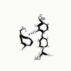 NCc1cccc(F)c1.O=C(O)N1CCC(c2ccc(O)cc2O)CC1